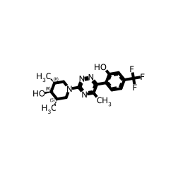 Cc1nc(N2C[C@@H](C)[C@H](O)[C@@H](C)C2)nnc1-c1ccc(C(F)(F)F)cc1O